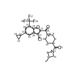 CC1CN(C(=O)C2CCN(C(=O)c3oc4c(C(F)(F)F)cc(C5CC5)cc4c3Cl)CC2)C1